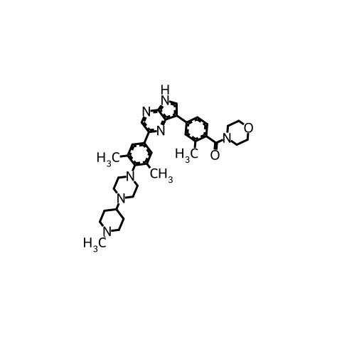 Cc1cc(-c2c[nH]c3ncc(-c4cc(C)c(N5CCN(C6CCN(C)CC6)CC5)c(C)c4)nc23)ccc1C(=O)N1CCOCC1